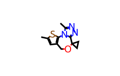 Cc1cc2c(s1)-n1c(C)nnc1C1(CC1)OC2